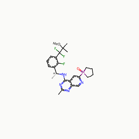 COC(C)(C)C(F)(F)c1cccc([C@@H](C)Nc2nc(C)nc3cnc(P4(=O)CCCC4)cc23)c1F